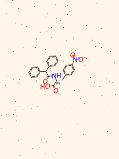 O=C(N[C@H](Cc1ccc([N+](=O)[O-])cc1)C(=O)O)C(c1ccccc1)c1ccccc1